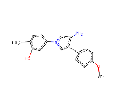 CCCOc1ccc(-c2cn(-c3ccc(C(=O)O)c(O)c3)cc2N)cc1